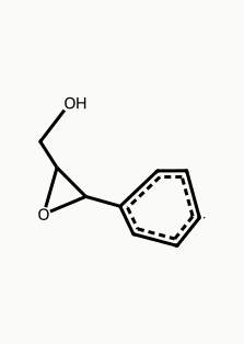 OCC1OC1c1cc[c]cc1